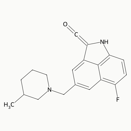 CC1CCCN(Cc2cc3c(F)ccc4[nH]c(=C=O)c(c2)c43)C1